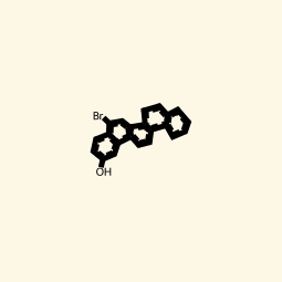 Oc1ccc2c(Br)cc3c(ccc4c5ccccc5ccc43)c2c1